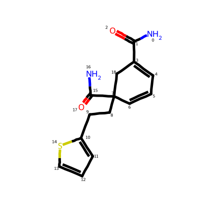 NC(=O)C1=CC=CC(CCc2cccs2)(C(N)=O)C1